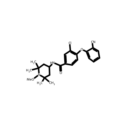 CON1C(C)(C)CC(NC(=O)c2ccc(Oc3ccccc3C#N)c(Cl)c2)CC1(C)C